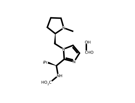 CC(C)[C@H](NC(=O)O)c1nccn1C[C@H]1CCCN1C.O=CO